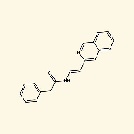 O=C(Cc1ccccc1)NC=Cc1cc2ccccc2cn1